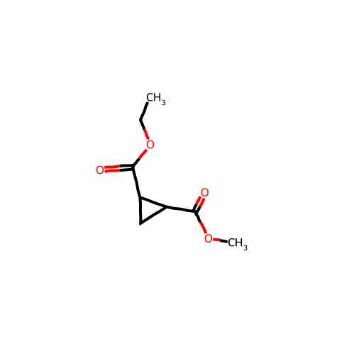 CCOC(=O)C1CC1C(=O)OC